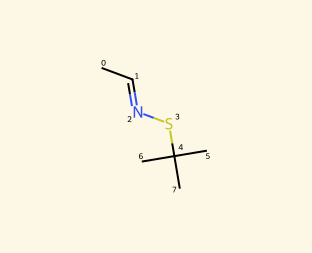 C/C=N/SC(C)(C)C